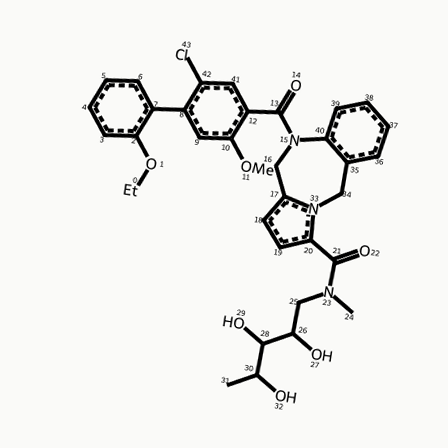 CCOc1ccccc1-c1cc(OC)c(C(=O)N2Cc3ccc(C(=O)N(C)CC(O)C(O)C(C)O)n3Cc3ccccc32)cc1Cl